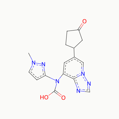 Cn1ccc(N(C(=O)O)c2cc(C3CCC(=O)C3)cn3ncnc23)n1